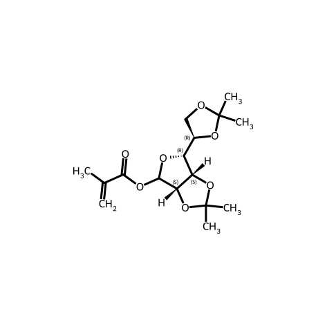 C=C(C)C(=O)OC1O[C@H]([C@H]2COC(C)(C)O2)[C@@H]2OC(C)(C)O[C@H]12